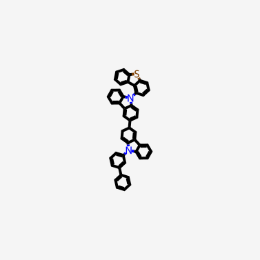 C1=c2c(n(-c3cccc(-c4ccccc4)c3)c3ccccc23)=CCC1c1ccc2c(c1)c1ccccc1n2-c1cccc2sc3ccccc3c12